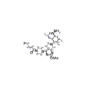 C/C=C/c1c(NN)cc(C)c(C)c1N1CCc2c(nc(OC)nc2N2CCN(C(=O)/C=C/CF)CC2)C1